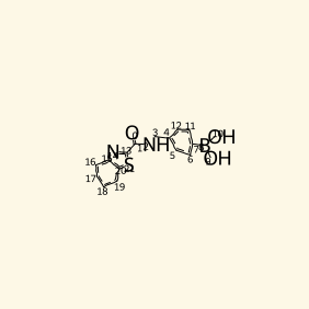 O=C(NCc1ccc(B(O)O)cc1)c1nc2ccccc2s1